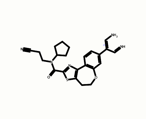 N#CCCN(C(=O)c1nc2c(s1)CCOc1cc(/C(C=N)=C/N)ccc1-2)C1CCCC1